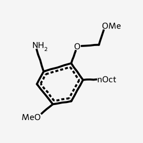 CCCCCCCCc1cc(OC)cc(N)c1OCOC